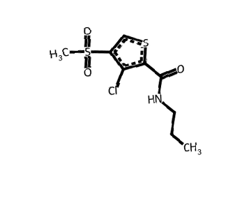 CCCNC(=O)c1scc(S(C)(=O)=O)c1Cl